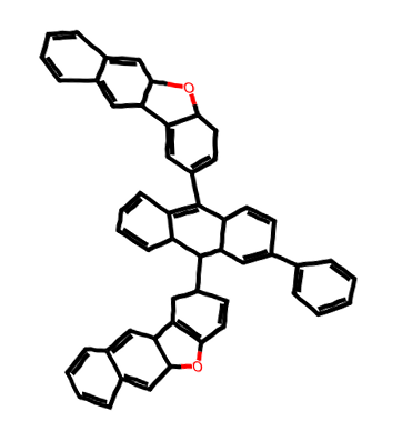 C1=CC2=C(C3=CCC4OC5C=c6ccccc6=CC5C4=C3)C3C=CC(c4ccccc4)=CC3C(C3C=CC4=C(C3)C3C=c5ccccc5=CC3O4)C2C=C1